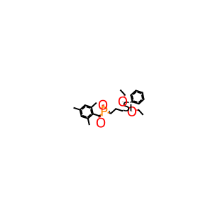 CCO[Si](CCC[P](=O)C(=O)c1c(C)cc(C)cc1C)(OCC)c1ccccc1